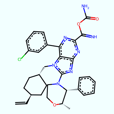 C=C[C@H]1CC[C@H](Cn2c(N3CCO[C@@H](C)[C@H]3c3ccccc3)nc3nc(C(=N)OC(N)=O)nc(-c4cccc(Cl)c4)c32)CC1